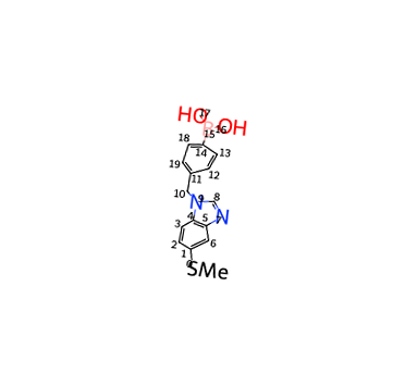 CSc1ccc2c(c1)ncn2Cc1ccc(B(O)O)cc1